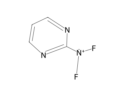 F[N+](F)c1ncccn1